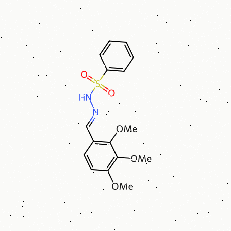 COc1ccc(C=NNS(=O)(=O)c2ccccc2)c(OC)c1OC